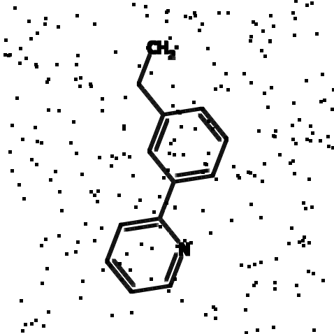 [CH2]Cc1cccc(-c2ccccn2)c1